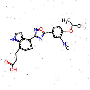 [C-]#[N+]c1cc(-c2nc(-c3ccc(CCC(=O)O)c4[nH]ccc34)no2)ccc1OC(C)C